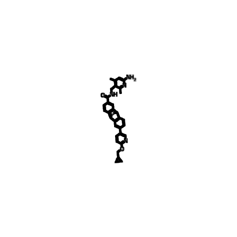 Cc1cc(N)nc(C)c1CNC(=O)c1ccc2c(c1)C1OC2c2cc(-c3ccc(OCC4CC4)nc3)ccc21